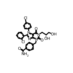 NC(=O)c1ccc(Cn2c(=O)n(C[C@@H](O)CO)c(=O)c3c2nc(-c2ccccc2Cl)n3-c2ccc(Cl)cc2)cc1